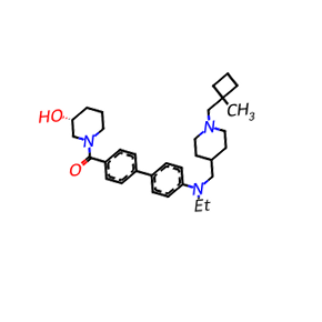 CCN(CC1CCN(CC2(C)CCC2)CC1)c1ccc(-c2ccc(C(=O)N3CCC[C@@H](O)C3)cc2)cc1